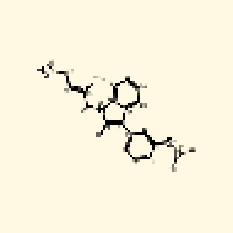 Cc1c(-c2cccc(SN(C)C)c2)c2ccccc2n1C/C(F)=C/CN